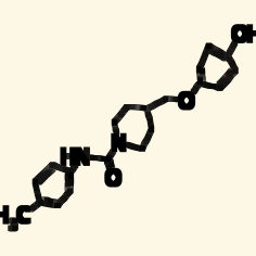 Cc1ccc(NC(=O)N2CCC(COc3ccc(O)cc3)CC2)cc1